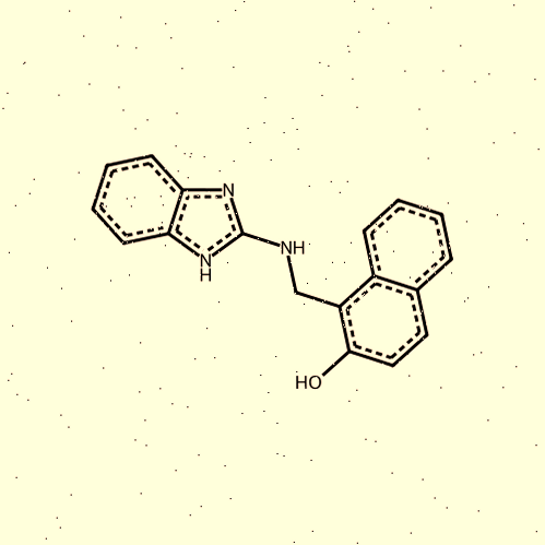 Oc1ccc2ccccc2c1CNc1nc2ccccc2[nH]1